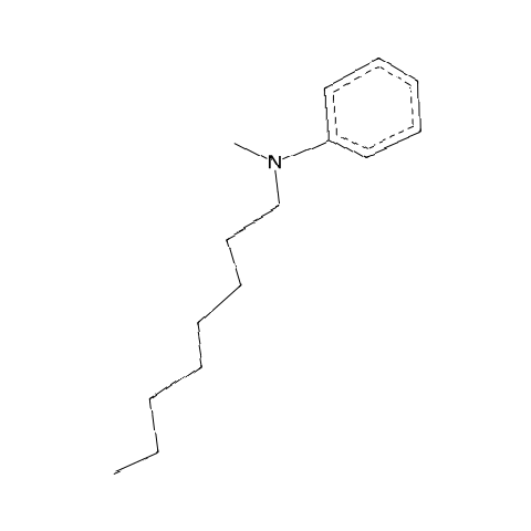 CCCCCCCCN(C)c1ccccc1